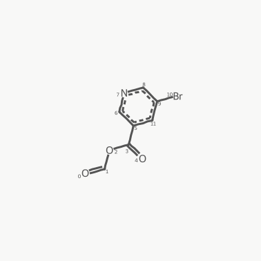 O=COC(=O)c1cncc(Br)c1